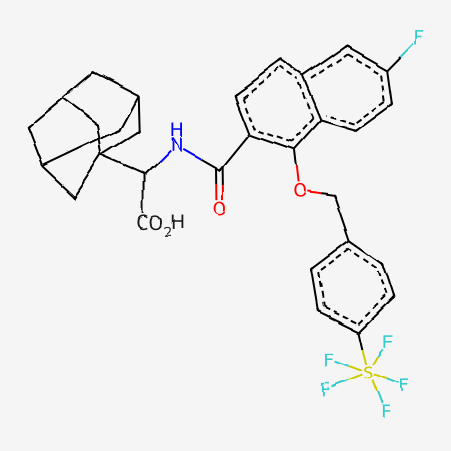 O=C(NC(C(=O)O)C12CC3CC(CC(C3)C1)C2)c1ccc2cc(F)ccc2c1OCc1ccc(S(F)(F)(F)(F)F)cc1